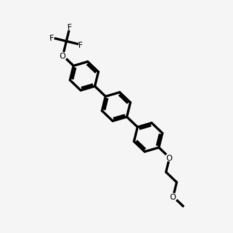 COCCOc1ccc(-c2ccc(-c3ccc(OC(F)(F)F)cc3)cc2)cc1